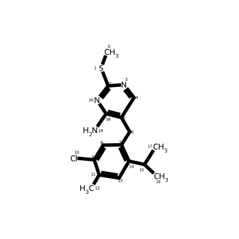 CSc1ncc(Cc2cc(Cl)c(C)cc2C(C)C)c(N)n1